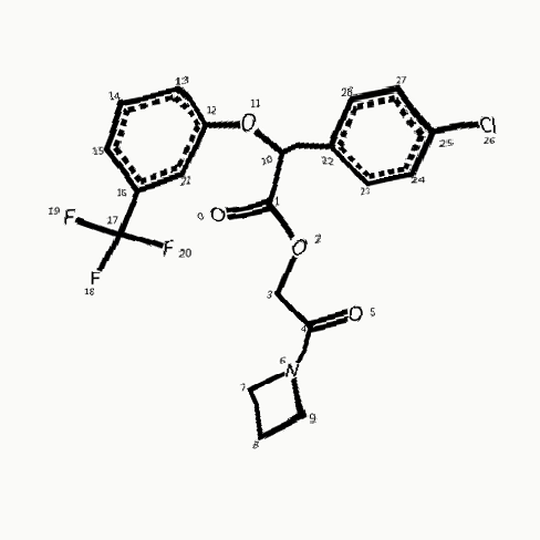 O=C(OCC(=O)N1CCC1)C(Oc1cccc(C(F)(F)F)c1)c1ccc(Cl)cc1